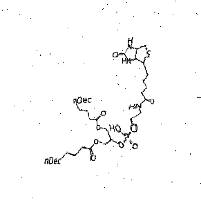 CCCCCCCCCCCCCC(=O)OCC(COC(=O)CCCCCCCCCCCCC)OP(=O)(O)OCCNC(=O)CCCCC1SCC2NC(=O)NC21